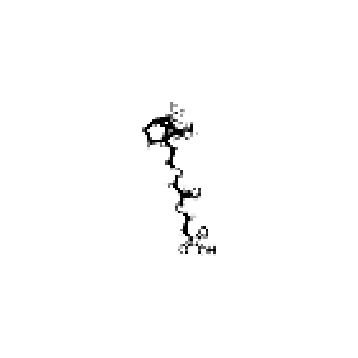 CC1(C)C2CCC1(CCOCC(=O)OCCS(=O)(=O)O)C(=O)C2